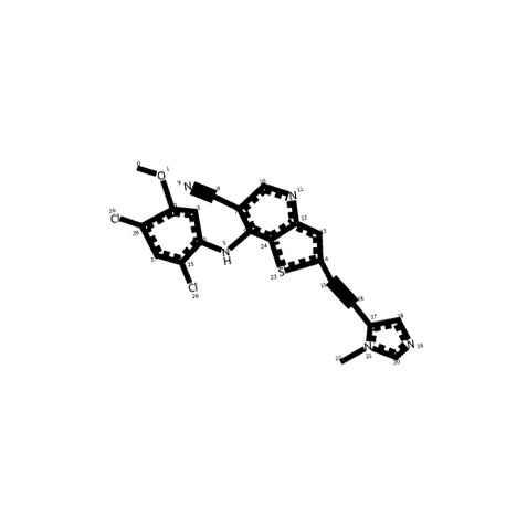 COc1cc(Nc2c(C#N)cnc3cc(C#Cc4cncn4C)sc23)c(Cl)cc1Cl